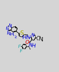 C[C@H](NC(=O)c1cc(C#N)cnc1NCC1CC=C(c2ccc3ncnc(N)c3c2)S1)c1ccc(F)c(F)c1